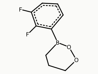 Fc1cccc(B2CCCOO2)c1F